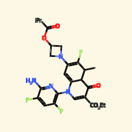 CCOC(=O)C1=CN(c2nc(N)c(F)cc2F)C2=CC(N3CC(OC(=O)C(C)C)C3)=C(F)C(C)C2C1=O